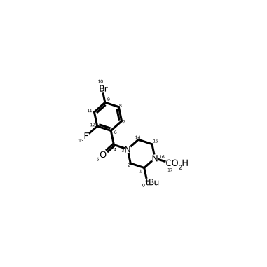 CC(C)(C)C1CN(C(=O)c2ccc(Br)cc2F)CCN1C(=O)O